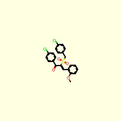 COc1ccccc1C=C(C(=O)c1ccc(Cl)cc1)S(=O)(=O)Cc1ccc(Cl)cc1